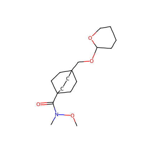 CON(C)C(=O)C12CCC(COC3CCCCO3)(CC1)CC2